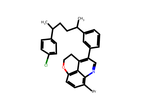 CC(C)c1ccc2c3c(c(-c4cccc(C(C)CCC(C)c5ccc(Cl)cc5)c4)cnc13)CCO2